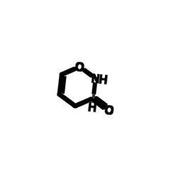 O=[IH]1CC=CON1